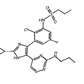 CCCNc1nccc(-c2[nH]c(C3CC3)nc2-c2cc(F)cc(NS(=O)(=O)CCC)c2Cl)n1